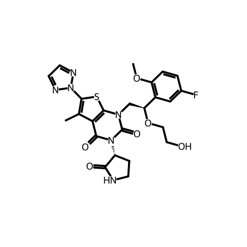 COc1ccc(F)cc1[C@H](Cn1c(=O)n([C@@H]2CCNC2=O)c(=O)c2c(C)c(-n3nccn3)sc21)OCCO